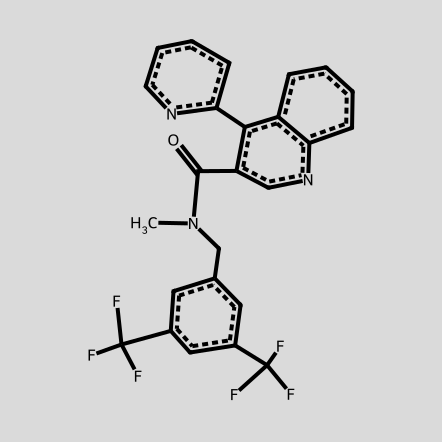 CN(Cc1cc(C(F)(F)F)cc(C(F)(F)F)c1)C(=O)c1cnc2ccccc2c1-c1ccccn1